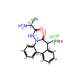 CCCCCCC1C(=O)N(NC(=O)[C@@H](N)C(C)C)c2ccccc2-c2ccccc21.Cl